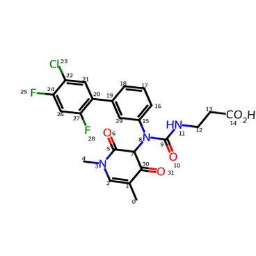 CC1=CN(C)C(=O)C(N(C(=O)NCCC(=O)O)c2cccc(-c3cc(Cl)c(F)cc3F)c2)C1=O